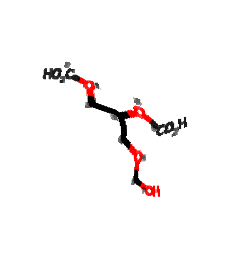 O=C(O)OCC(COCO)OC(=O)O